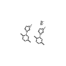 C=c1ccc(=C)c(-n2cc[n+](C)c2)c1.C=c1ccc(=C)c(-n2cc[n+](C)c2)c1.[Br-].[Br-]